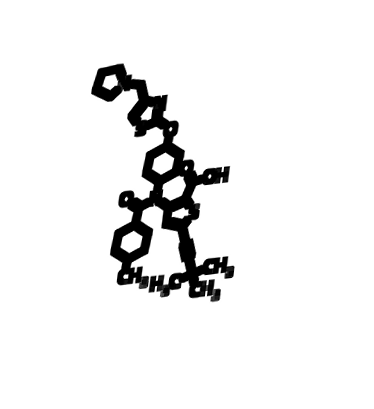 CC1CCC(C(=O)N(c2cc(C#CC(C)(C)C)sc2C(=O)O)C2CCC(Oc3nc(CN4CCCC4)cs3)CC2)CC1